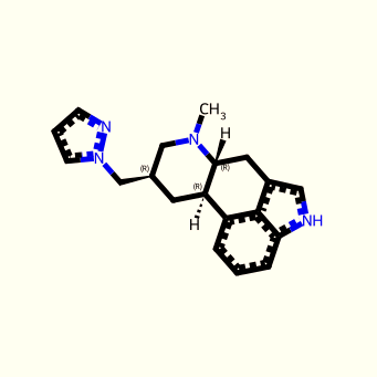 CN1C[C@H](Cn2cccn2)C[C@@H]2c3cccc4[nH]cc(c34)C[C@H]21